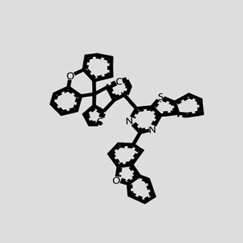 c1ccc2c(c1)Oc1ccccc1C21c2ccccc2-c2c(-c3nc(-c4ccc5oc6ccccc6c5c4)nc4c3sc3ccccc34)cccc21